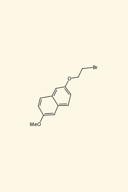 COc1ccc2cc(OCCBr)ccc2c1